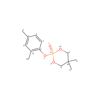 Cc1ccc(OP2(=O)OCC(C)(C)CO2)c(C)c1